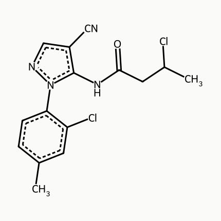 Cc1ccc(-n2ncc(C#N)c2NC(=O)CC(C)Cl)c(Cl)c1